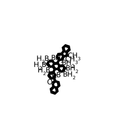 Bc1c(B)c(B)c2c(-c3ccc4oc5c6ccccc6ccc5c4c3)c3c(B)c(B)c(B)c(B)c3c(-c3ccc4c(c3)C(C)(C)c3ccccc3-4)c2c1B